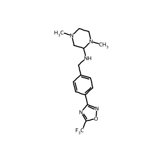 CN1CCN(C)C(NCc2ccc(-c3noc(C(F)(F)F)n3)cc2)C1